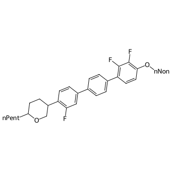 CCCCCCCCCOc1ccc(-c2ccc(-c3ccc(C4CCC(CCCCC)OC4)c(F)c3)cc2)c(F)c1F